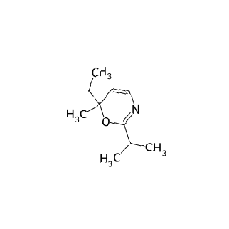 CCC1(C)C=CN=C(C(C)C)O1